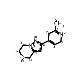 CC1=NCC=C(c2cc3n(n2)CCOC3)C1